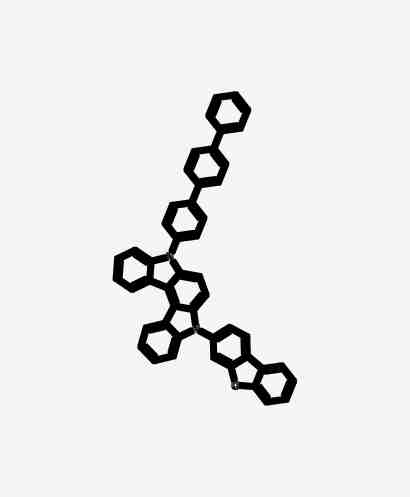 c1ccc(-c2ccc(-c3ccc(-n4c5ccccc5c5c6c7ccccc7n(-c7ccc8c(c7)oc7ccccc78)c6ccc54)cc3)cc2)cc1